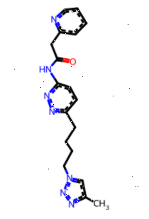 Cc1cn(CCCCc2ccc(NC(=O)Cc3ccccn3)nn2)nn1